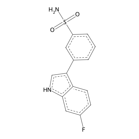 NS(=O)(=O)c1cccc(-c2c[nH]c3cc(F)ccc23)c1